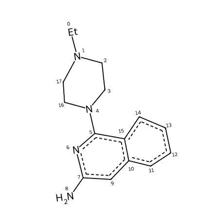 CCN1CCN(c2nc(N)cc3ccccc23)CC1